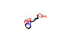 O=C1CCCCCN1C(O)CCCCO